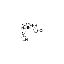 Clc1cccc(Nc2ccc3nnc(COc4cccnc4)n3n2)c1